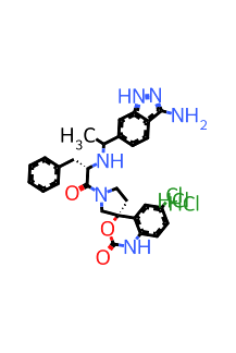 CC(N[C@@H](Cc1ccccc1)C(=O)N1CC[C@@]2(C1)OC(=O)Nc1ccc(Cl)cc12)c1ccc2c(N)n[nH]c2c1.Cl.Cl